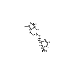 Cc1cnc2n1CCC(COc1cc(C#N)ccn1)C2